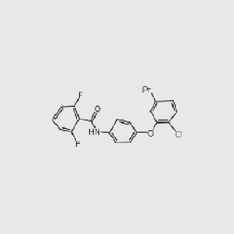 CC(C)c1ccc(Cl)c(Oc2ccc(NC(=O)c3c(F)cccc3F)cc2)c1